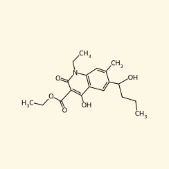 CCCC(O)c1cc2c(O)c(C(=O)OCC)c(=O)n(CC)c2cc1C